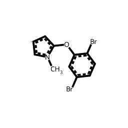 Cn1c[c]cc1Oc1cc(Br)ccc1Br